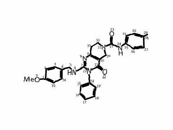 COc1ccc(CNc2nc3c(c(=O)n2-c2ccccc2)CN(C(=O)Nc2ccc(C)cc2)CC3)cc1